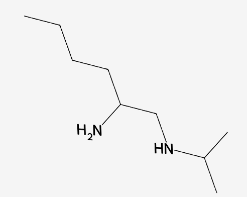 CCCCC(N)CNC(C)C